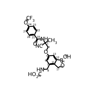 CC(C#N)(COc1cc(CNC(=O)O)c2c(c1)B(O)OC2)NC(=O)c1ccc(OC(F)(F)F)cc1